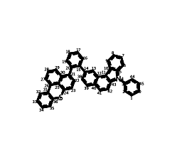 c1ccc(-n2c3ccccc3c3c4cc(-c5ccccc5-c5ccc6c7c(cccc57)-c5ccccc5S6)ccc4ccc32)cc1